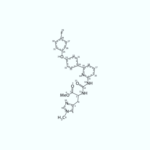 COC(=O)C(Cc1cn(C)cn1)NC(=O)Nc1cccc(-c2ccc(Oc3ccc(F)cc3)cc2)n1